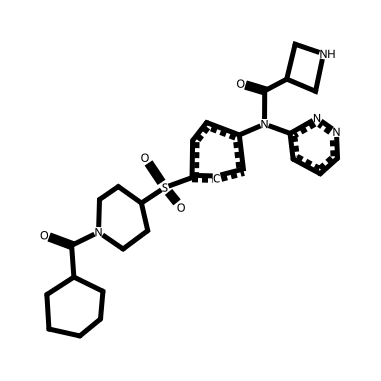 O=C(C1CCCCC1)N1CCC(S(=O)(=O)c2ccc(N(C(=O)C3CNC3)c3cccnn3)cc2)CC1